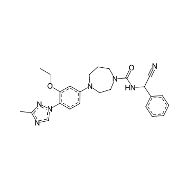 CCOc1cc(N2CCCN(C(=O)NC(C#N)c3ccccc3)CC2)ccc1-n1cnc(C)n1